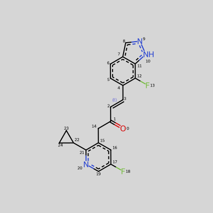 O=C(/C=C/c1ccc2cn[nH]c2c1F)Cc1cc(F)cnc1C1CC1